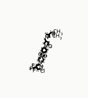 CN(C)CC1CN(CC2CC(=O)N(c3ccc(S(=O)(=O)N4CCN(c5cc(C(F)(F)F)cc(Cl)n5)CC4)cc3)C2)C1